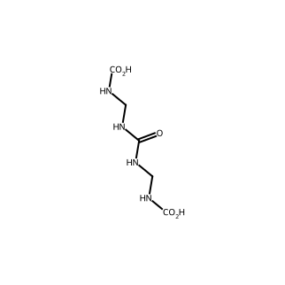 O=C(O)NCNC(=O)NCNC(=O)O